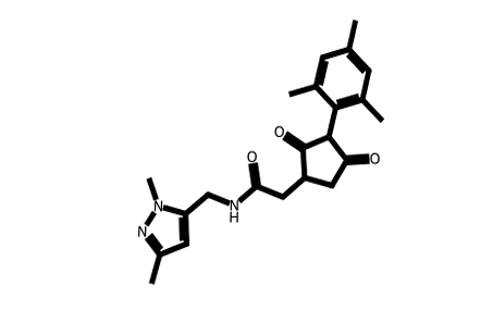 Cc1cc(C)c(C2C(=O)CC(CC(=O)NCc3cc(C)nn3C)C2=O)c(C)c1